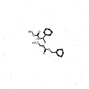 CC(C)(C)OC(=O)NC(C[C@@H](CC(=O)O)C(=O)OCc1ccccc1)c1ccccc1